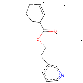 O=C(OCCc1cccnc1)C1C=CCCC1